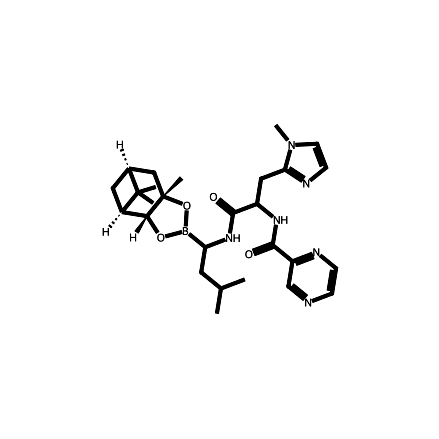 CC(C)CC(NC(=O)C(Cc1nccn1C)NC(=O)c1cnccn1)B1O[C@@H]2[C@H]3C[C@@H](C[C@]2(C)O1)C3(C)C